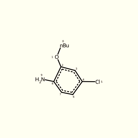 CCCCOc1cc(Cl)ccc1N